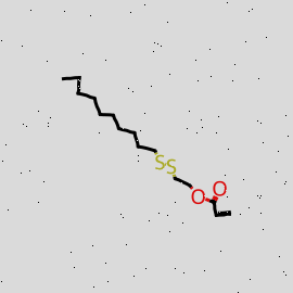 C=CC(=O)OCCSSCCCCCCCCCC